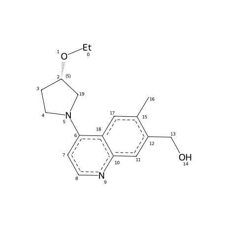 CCO[C@H]1CCN(c2ccnc3cc(CO)c(C)cc23)C1